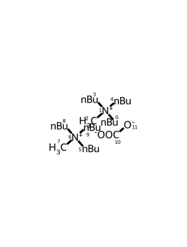 CCCC[N+](C)(CCCC)CCCC.CCCC[N+](C)(CCCC)CCCC.O=C([O-])[O-]